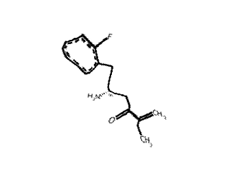 C=C(C)C(=O)C[C@H](N)Cc1ccccc1F